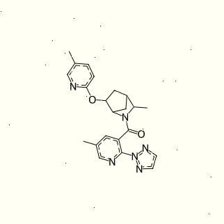 Cc1ccc(OC2CC3CC2N(C(=O)c2cc(C)cnc2-n2nccn2)C3C)nc1